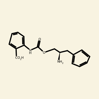 N[C@@H](COC(=O)Nc1ccccc1C(=O)O)Cc1ccccc1